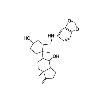 C=C1CCC2C(O)C(C3(C)CCC(O)CC3CNc3ccc4c(c3)OCO4)CCC12C